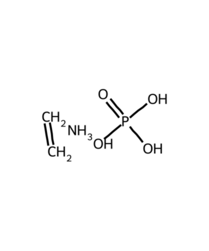 C=C.N.O=P(O)(O)O